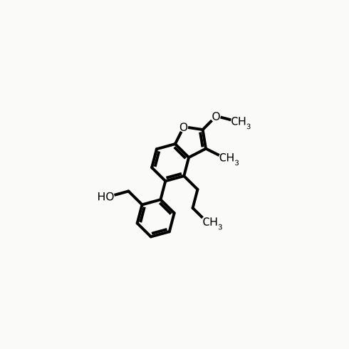 CCCc1c(-c2ccccc2CO)ccc2oc(OC)c(C)c12